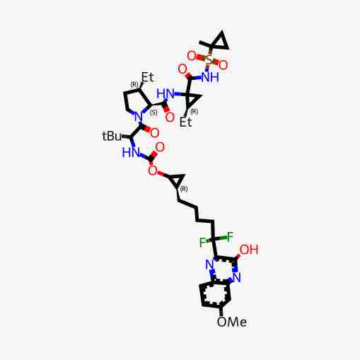 CC[C@@H]1CCN(C(=O)C(NC(=O)OC2C[C@H]2CCCCC(F)(F)c2nc3ccc(OC)cc3nc2O)C(C)(C)C)[C@@H]1C(=O)NC1(C(=O)NS(=O)(=O)C2(C)CC2)C[C@H]1CC